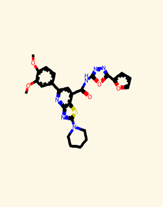 COc1ccc(-c2cc(C(=O)Nc3nnc(-c4ccco4)o3)c3sc(N4CCCCC4)nc3n2)cc1OC